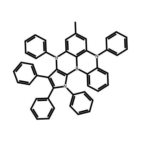 Cc1cc2c3c(c1)N(c1ccccc1)c1c(-c4ccccc4)c(-c4ccccc4)n(-c4ccccc4)c1B3c1ccccc1N2c1ccccc1